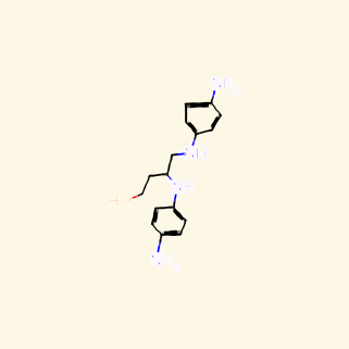 Nc1ccc(NCC(CCO)Nc2ccc(N)cc2)cc1